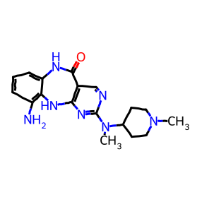 CN1CCC(N(C)c2ncc3c(n2)Nc2c(N)cccc2NC3=O)CC1